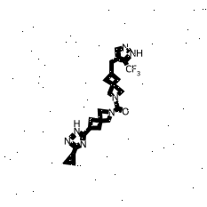 O=C(N1CC2(CC(Cc3cn[nH]c3C(F)(F)F)C2)C1)N1CC2(CC(c3nc(C4CC4)n[nH]3)C2)C1